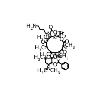 CC[C@@H]1OC(=O)[C@@](C)(F)C(=O)[C@H](C)[C@@H](O[C@@H]2O[C@H](C)C[C@H](N(C)C)[C@H]2OC(=O)c2ccccc2)[C@@](C)(OC)C[C@@H](C)C(=O)[C@H](C)[C@H]2N(CCCCN)C(=O)O[C@]12C